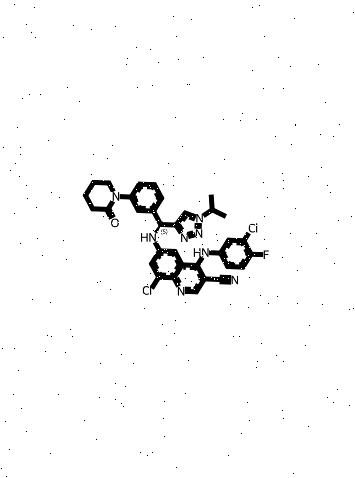 CC(C)n1cc([C@@H](Nc2cc(Cl)c3ncc(C#N)c(Nc4ccc(F)c(Cl)c4)c3c2)c2cccc(N3CCCCC3=O)c2)nn1